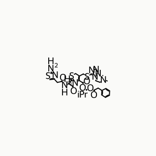 CC(C)C(OC(=O)Cc1ccccc1)OC(=O)C1=C(CSc2nnnn2CCN(C)C)CS[C@H]2[C@H](NC(=O)Cc3csc(N)n3)C(=O)N12